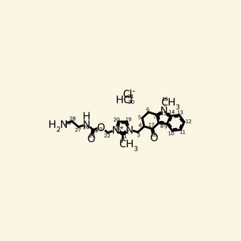 Cc1n(CC2CCc3c(c4ccccc4n3C)C2=O)cc[n+]1COC(=O)NCCN.Cl.[Cl-]